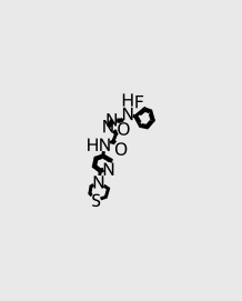 O=C(Nc1ccc(N2CCSCC2)nc1)c1nnc(Nc2ccccc2F)o1